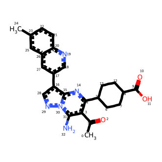 CC(=O)c1c(C2CCC(C(=O)O)CC2)nc2c(-c3cnc4ccc(C)cc4c3)cnn2c1N